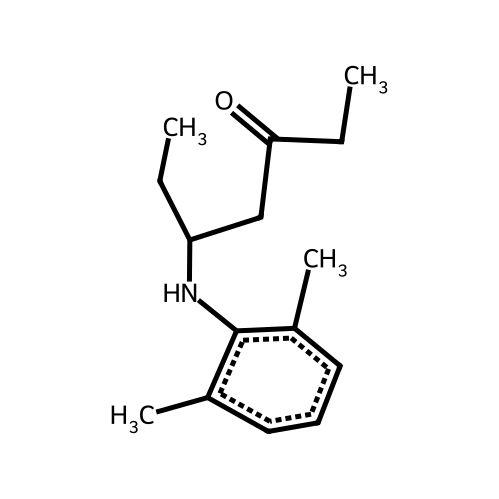 CCC(=O)CC(CC)Nc1c(C)cccc1C